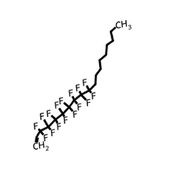 C=CC(F)(F)C(F)(F)C(F)(F)C(F)(F)C(F)(F)C(F)(F)C(F)(F)C(F)(F)CCCCCCCCC